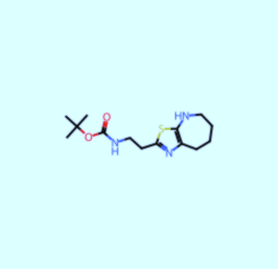 CC(C)(C)OC(=O)NCCc1nc2c(s1)NCCCC2